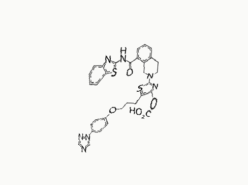 O=C(O)Oc1nc(N2CCc3cccc(C(=O)Nc4nc5ccccc5s4)c3C2)sc1CCCOc1ccc(-n2cncn2)cc1